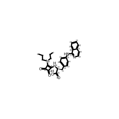 CCCN(CCC)c1c(N[C@@H](Cc2ccc(Nc3nccc4ccccc34)cc2)C(=O)O)c(=O)c1=O